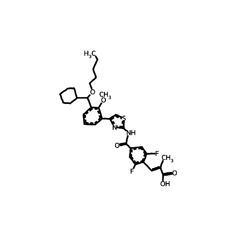 CCCCCOC(c1cccc(-c2csc(NC(=O)c3cc(F)c(/C=C(\C)C(=O)O)c(F)c3)n2)c1OC)C1CCCCC1